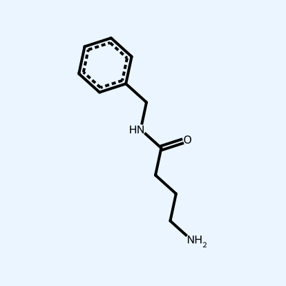 NCCCC(=O)NCc1ccccc1